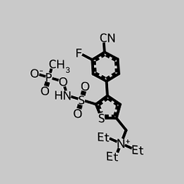 CC[N+](CC)(CC)Cc1cc(-c2ccc(C#N)c(F)c2)c(S(=O)(=O)NOP(C)(=O)[O-])s1